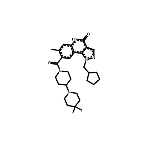 Cc1cc2[nH]c(=O)c3cnn(CC4CCCC4)c3c2cc1C(=O)N1CCC(N2CCC(F)(F)CC2)CC1